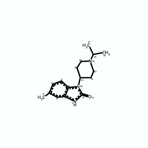 Cc1ccc2c(c1)[nH]c(=O)n2C1CCN(C(C)C)CC1